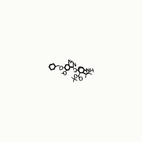 COc1cc2c(Oc3ccc4[nH]c(C)c(C)c4c3C(=O)OC(C)(C)C)ncnc2cc1OCc1ccccc1